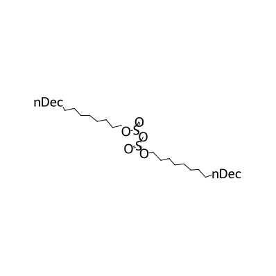 CCCCCCCCCCCCCCCCCCOS(=O)OS(=O)OCCCCCCCCCCCCCCCCCC